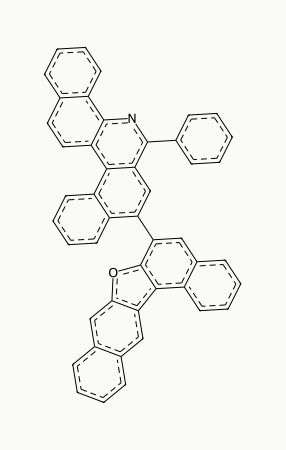 c1ccc(-c2nc3c4ccccc4ccc3c3c2cc(-c2cc4ccccc4c4c2oc2cc5ccccc5cc24)c2ccccc23)cc1